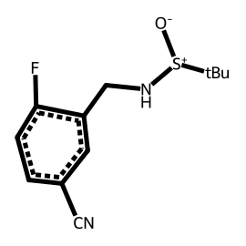 CC(C)(C)[S+]([O-])NCc1cc(C#N)ccc1F